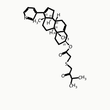 CC(C)C(=O)CSCC(=O)O[C@H]1CC[C@@]2(C)C(=CC[C@@H]3[C@@H]2CC[C@]2(C)C(c4cccnc4)=CC[C@@H]32)C1